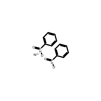 O=[PH]([O-])c1ccccc1.O=[PH]([O-])c1ccccc1.[Ni+2]